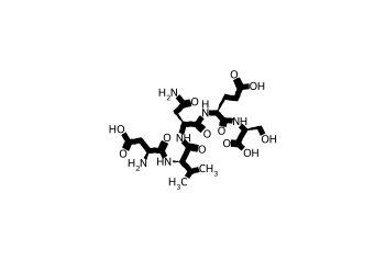 CC(C)[C@H](NC(=O)[C@@H](N)CC(=O)O)C(=O)N[C@@H](CC(N)=O)C(=O)N[C@@H](CCC(=O)O)C(=O)N[C@@H](CO)C(=O)O